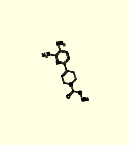 CC(C)(C)OC(=O)N1CC=C(c2ccc([N+](=O)[O-])c(N)n2)CC1